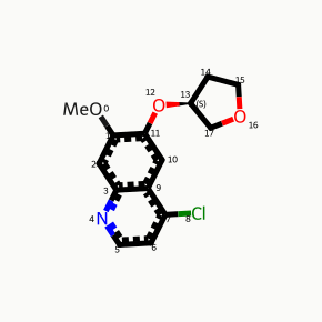 COc1cc2nccc(Cl)c2cc1O[C@H]1CCOC1